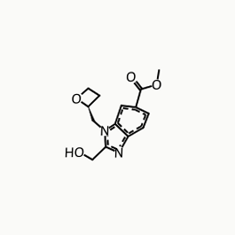 COC(=O)c1ccc2nc(CO)n(C[C@@H]3CCO3)c2c1